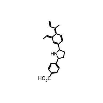 C=C/C(C)=c1/ccc(C2CCC(c3ccc(C(=O)O)cc3)N2)c/c1=C\C